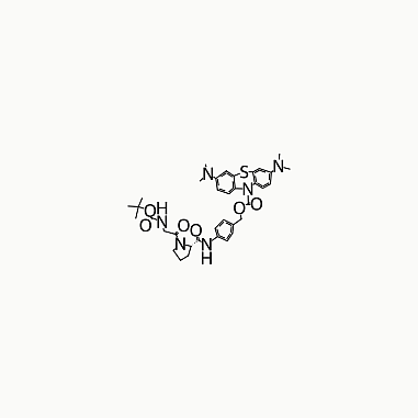 CN(C)c1ccc2c(c1)Sc1cc(N(C)C)ccc1N2C(=O)OCc1ccc(NC(=O)[C@@H]2CCCN2C(=O)CNC(=O)OC(C)(C)C)cc1